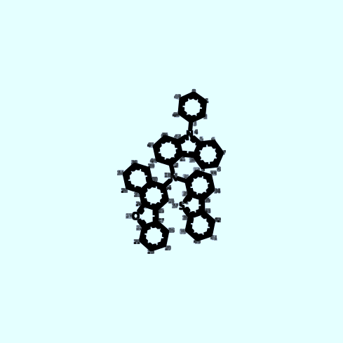 c1ccc(-n2c3ccccc3c3c(N(c4cc5c6ccccc6oc5c5ccccc45)c4cccc5c4sc4ccccc45)cccc32)cc1